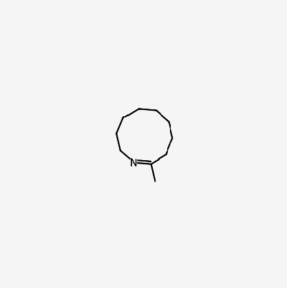 C/C1=N/CCCCCCCC1